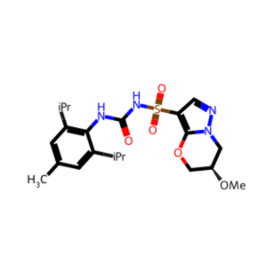 CO[C@H]1COc2c(S(=O)(=O)NC(=O)Nc3c(C(C)C)cc(C)cc3C(C)C)cnn2C1